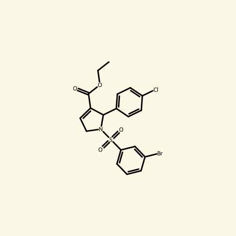 CCOC(=O)C1=CCN(S(=O)(=O)c2cccc(Br)c2)C1c1ccc(Cl)cc1